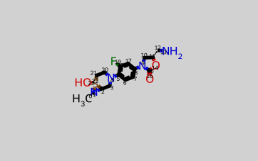 CN1C2CN(c3ccc(N4C[C@H](CN)OC4=O)cc3F)CCS21O